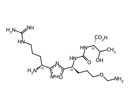 CC(O)[C@H](NC(=O)N[C@@H](CCCOCN)c1nc([C@@H](N)CCCNC(=N)N)no1)C(=O)O